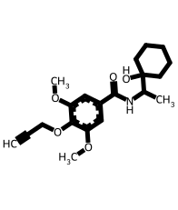 C#CCOc1c(OC)cc(C(=O)NC(C)C2(O)CCCCC2)cc1OC